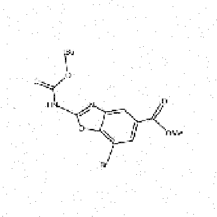 COC(=O)c1cc(Br)c2oc(NC(=O)OC(C)(C)C)nc2c1